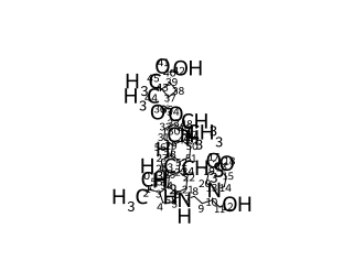 C=C(C)[C@@H]1CC[C@]2(NCCC(CO)N3CCS(=O)(=O)CC3)CC[C@]3(C)[C@H](CC[C@@H]4[C@@]5(C)CC[C@H](OC(=O)[C@H]6C[C@@H](C(=O)O)C6(C)C)C(C)(C)[C@@H]5CC[C@]43C)[C@@H]12